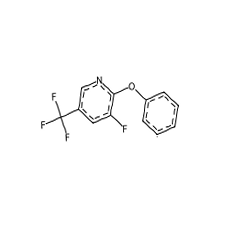 Fc1cc(C(F)(F)F)cnc1Oc1c[c]ccc1